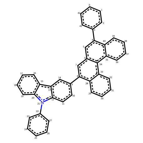 c1ccc(-c2cc3cc(-c4ccc5c(c4)c4ccccc4n5-c4ccccc4)c4ccccc4c3c3ccccc23)cc1